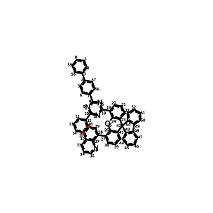 c1ccc(-c2ccc(-c3nc(-c4ccccc4)nc(-c4cccc5c4Oc4c(-c6cccc7cccnc67)cccc4C54c5ccccc5-c5ccccc54)n3)cc2)cc1